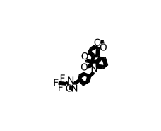 O=C1N(Cc2ccc(-c3noc(C(F)(F)F)n3)cc2)c2ccccc2C12COc1cc3c(cc12)OCO3